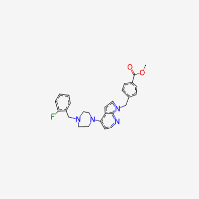 COC(=O)c1ccc(Cn2ccc3c(N4CCN(Cc5ccccc5F)CC4)ccnc32)cc1